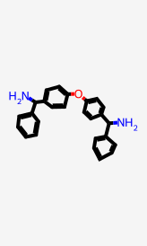 NC(c1ccccc1)c1ccc(Oc2ccc(C(N)c3ccccc3)cc2)cc1